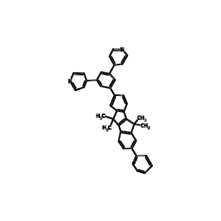 CC1(C)C2=C(c3ccc(-c4ccccc4)cc31)C(C)(C)c1cc(-c3cc(-c4ccncc4)cc(-c4ccncc4)c3)ccc12